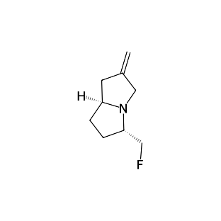 C=C1C[C@@H]2CC[C@@H](CF)N2C1